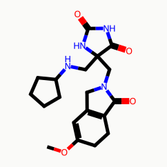 COC1=CC2=C(CC1)C(=O)N(CC1(CNC3CCCC3)NC(=O)NC1=O)C2